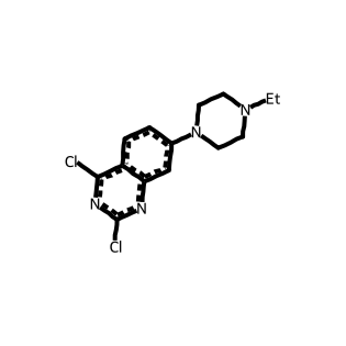 CCN1CCN(c2ccc3c(Cl)nc(Cl)nc3c2)CC1